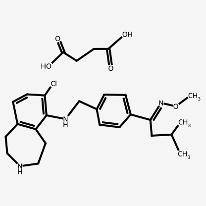 CON=C(CC(C)C)c1ccc(CNc2c(Cl)ccc3c2CCNCC3)cc1.O=C(O)CCC(=O)O